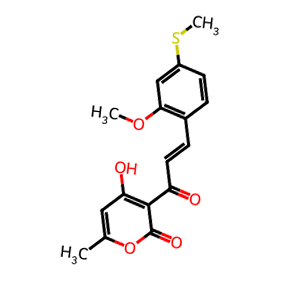 COc1cc(SC)ccc1C=CC(=O)c1c(O)cc(C)oc1=O